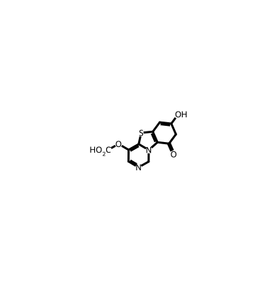 O=C(O)OC1=C2SC3=C(C(=O)CC(O)=C3)N2CN=C1